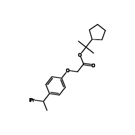 CC(C)C(C)c1ccc(OCC(=O)OC(C)(C)C2CCCC2)cc1